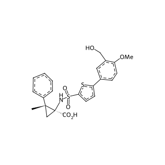 COc1ccc(-c2ccc(S(=O)(=O)N[C@@]3(C(=O)O)C[C@]3(C)c3ccccc3)s2)cc1CO